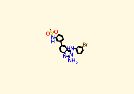 CS(=O)(=O)Nc1cccc(-c2ccc3nc(N)nc(Nc4cccc(Br)c4)c3c2)c1